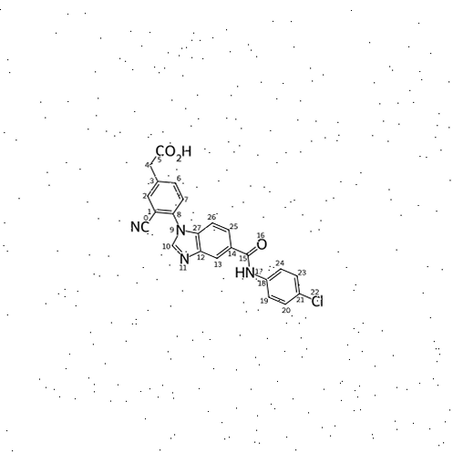 N#Cc1cc(CC(=O)O)ccc1-n1cnc2cc(C(=O)Nc3ccc(Cl)cc3)ccc21